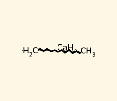 [CH2]CCCCCCCCCCCCC.[CaH2]